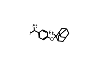 CCC(I)c1ccc(OC2(CC)C3CC4CC(C3)CC2C4)cc1